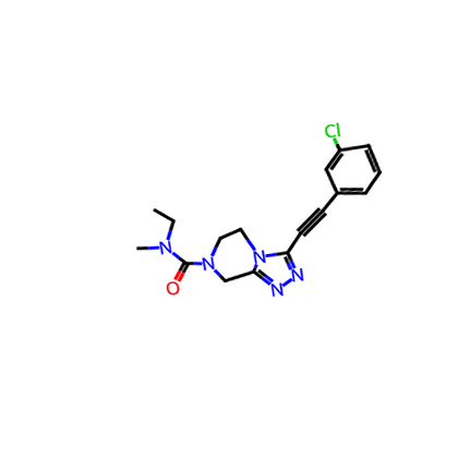 CCN(C)C(=O)N1CCn2c(C#Cc3cccc(Cl)c3)nnc2C1